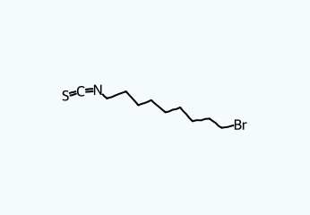 S=C=NCCCCCCCCCBr